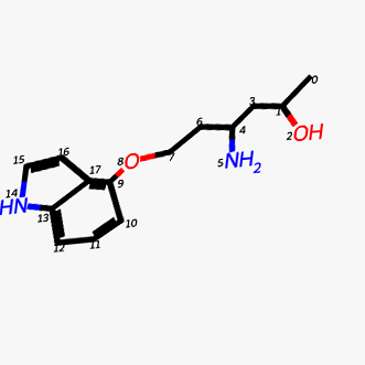 CC(O)CC(N)CCOc1cccc2[nH]ccc12